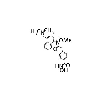 CON(C(=O)Cc1ccc(C(=O)NO)cc1)c1ccc(CN(C)C)c2ccccc12